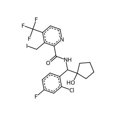 O=C(NC(c1ccc(F)cc1Cl)C1(O)CCCC1)c1nccc(C(F)(F)F)c1CI